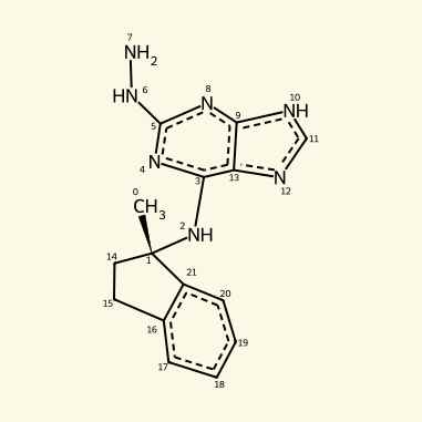 C[C@]1(Nc2nc(NN)nc3[nH]cnc23)CCc2ccccc21